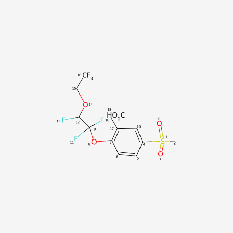 CS(=O)(=O)c1ccc(OC(F)(F)C(F)OCC(F)(F)F)c(C(=O)O)c1